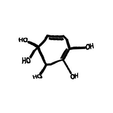 OC1=C(O)C(O)C(O)(O)C=C1